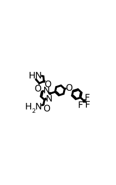 NC(=O)c1cc(O[C@H]2CNCC2=O)nc(C2=CCC(Oc3ccc(C(F)(F)F)cc3)CC2)n1